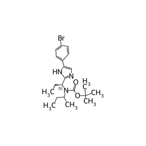 CCC(C)N(C(=O)OC(C)(C)C)[C@@H](CC)c1ncc(-c2ccc(Br)cc2)[nH]1